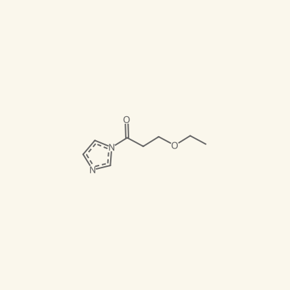 CCOCCC(=O)n1ccnc1